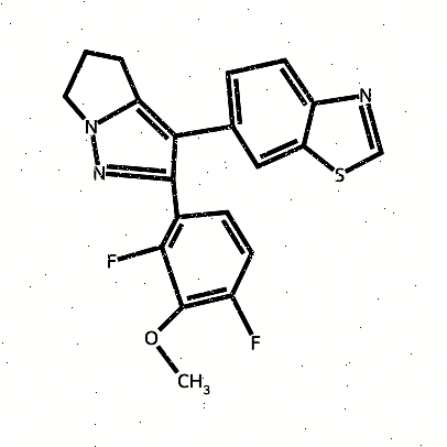 COc1c(F)ccc(-c2nn3c(c2-c2ccc4ncsc4c2)CCC3)c1F